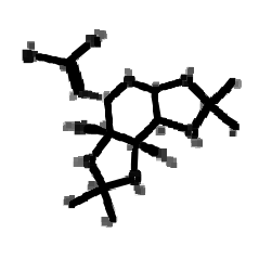 CC1(C)OC2O[C@@H](C=C(Br)Br)[C@H]3OC(C)(C)O[C@H]3C2O1